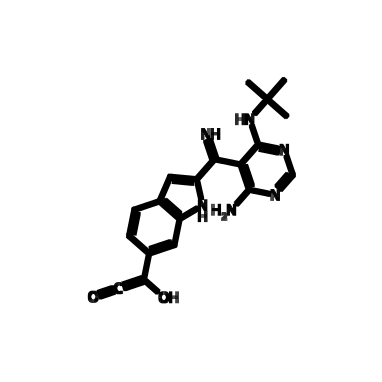 CC(C)(C)Nc1ncnc(N)c1C(=N)c1cc2ccc(C(O)=C=O)cc2[nH]1